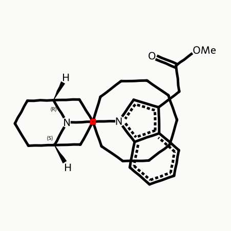 COC(=O)Cc1cn(C2C[C@H]3CCC[C@@H](C2)N3C2CCCCCCCCC2)c2ccccc12